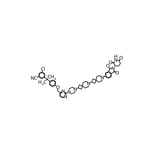 CC(C)(c1ccc(OCc2ccnc(N3CCN(C4CC5(CCN(C6CC7(CCN(c8ccc9c(c8)C(=O)N(C8CCC(=O)NC8=O)C9=O)CC7)C6)CC5)C4)CC3)n2)cc1)c1cc(Cl)cc(C#N)c1